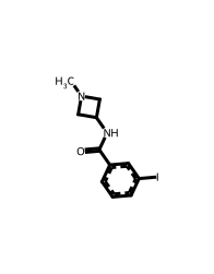 CN1CC(NC(=O)c2cccc(I)c2)C1